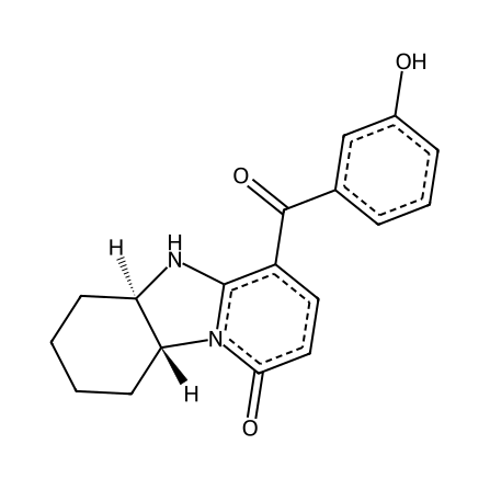 O=C(c1cccc(O)c1)c1ccc(=O)n2c1N[C@@H]1CCCC[C@H]12